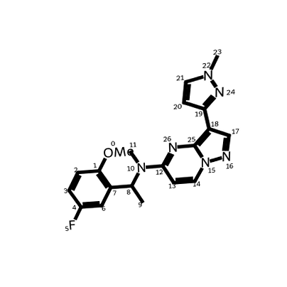 COc1ccc(F)cc1C(C)N(C)c1ccn2ncc(-c3ccn(C)n3)c2n1